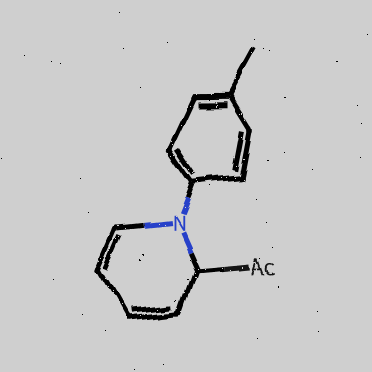 CC(=O)C1C=CC=CN1c1ccc(C)cc1